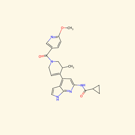 COc1ccc(C(=O)N2CC=C(c3cc(NC(=O)C4CC4)nc4[nH]ccc34)C(C)C2)cn1